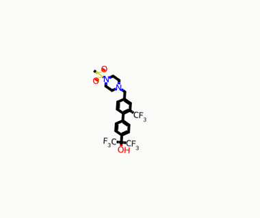 CS(=O)(=O)N1CCN(Cc2ccc(-c3ccc(C(O)(C(F)(F)F)C(F)(F)F)cc3)c(C(F)(F)F)c2)CC1